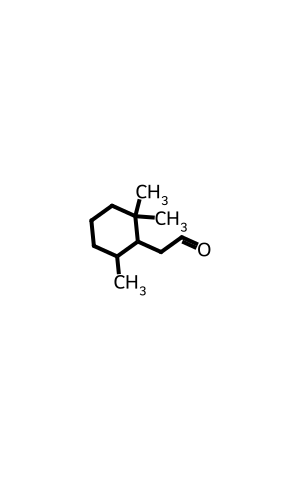 CC1CCCC(C)(C)C1CC=O